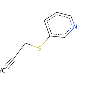 C#CCSc1cccnc1